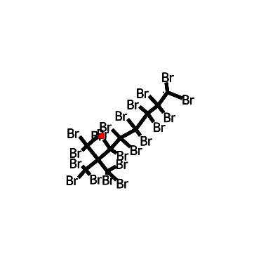 Br[C](Br)C(Br)(Br)C(Br)(Br)C(Br)(Br)C(Br)(Br)C(Br)(Br)C(C(Br)(Br)Br)(C(Br)(Br)Br)C(Br)(Br)Br